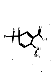 NNC1C=CC(F)(C(F)(F)F)C=C1C(=O)O